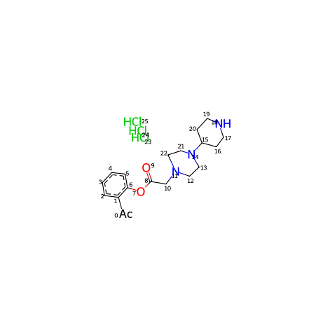 CC(=O)c1ccccc1OC(=O)CN1CCN(C2CCNCC2)CC1.Cl.Cl.Cl